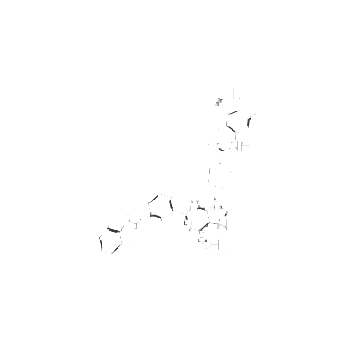 COc1cccc(NC(=O)[C@H]2CC[C@@H](n3cnc4c(N)nc(-c5cccc(OCc6ccccc6)c5)nc43)CC2)c1